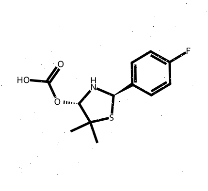 CC1(C)S[C@H](c2ccc(F)cc2)N[C@H]1OC(=O)O